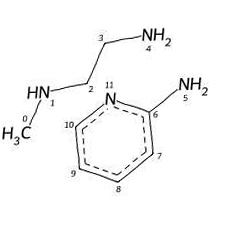 CNCCN.Nc1ccccn1